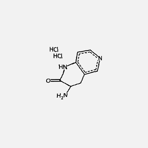 Cl.Cl.NC1Cc2cnccc2NC1=O